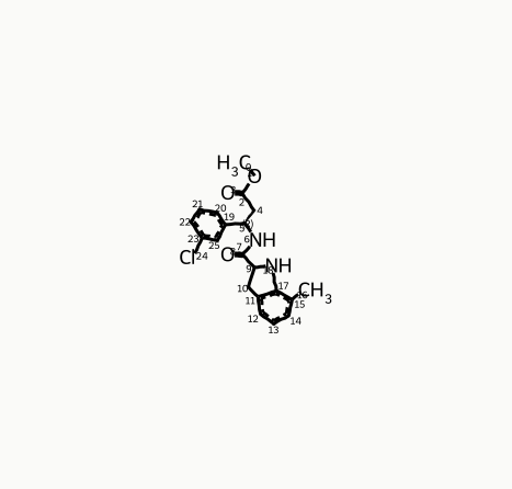 COC(=O)C[C@@H](NC(=O)C1Cc2cccc(C)c2N1)c1cccc(Cl)c1